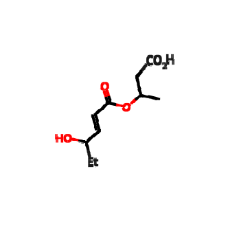 CCC(O)C=CC(=O)OC(C)CC(=O)O